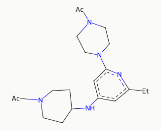 CCc1cc(NC2CCN(C(C)=O)CC2)cc(N2CCN(C(C)=O)CC2)n1